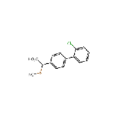 N#CSC(C(=O)O)c1ccc(-c2ccccc2Cl)cc1